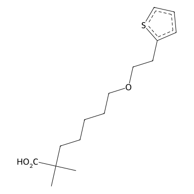 CC(C)(CCCCCOCCc1cccs1)C(=O)O